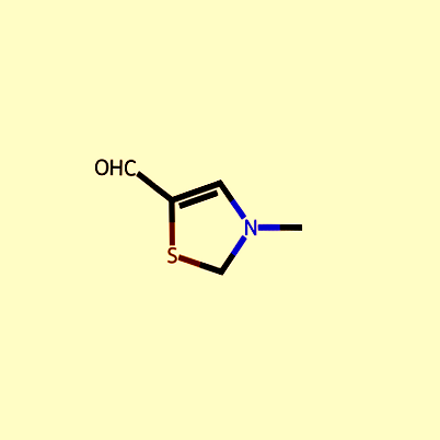 CN1C=C(C=O)SC1